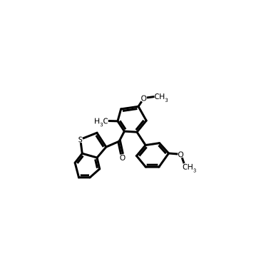 COc1cccc(-c2cc(OC)cc(C)c2C(=O)c2csc3ccccc23)c1